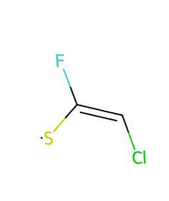 FC([S])=CCl